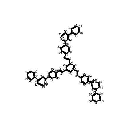 C(=C\c1cc(/C=C/c2ccc(-c3cc(-c4ccccc4)ccn3)cc2)cc(/C=C/c2ccc(-c3cc(-c4ccccc4)ccn3)cc2)c1)/c1ccc(-c2cc(-c3ccccc3)ccn2)cc1